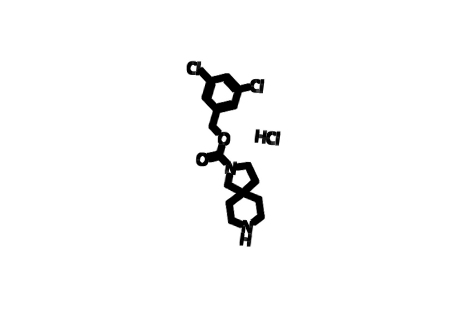 Cl.O=C(OCc1cc(Cl)cc(Cl)c1)N1CCC2(CCNCC2)C1